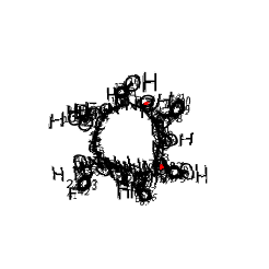 CN1C(=O)[C@H](CO)NC(=O)[C@H](Cc2ccc(O)cc2)NC(=O)[C@@H](N)CC#CCSC[C@@H](C(=O)N(C)[C@@H](Cc2ccc(F)cc2)C(N)=O)N(C)C(=O)[C@H](C2CC2)NC(=O)[C@H](Cc2c[nH]c3ccccc23)NC(=O)[C@H](Cc2c[nH]c3ccc(O)cc23)NC(=O)[C@H](CO)N(C)C(=O)[C@@H]1CCc1ccccc1.O=C(O)C(F)(F)F